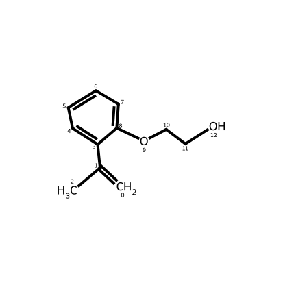 C=C(C)c1ccccc1OCCO